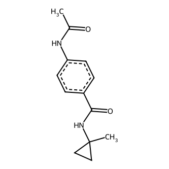 CC(=O)Nc1ccc(C(=O)NC2(C)CC2)cc1